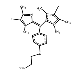 Bn1c(C)c(I)c(C)c1/C(=C1\N=C(C)C(I)=C1C)c1ccc(OCCCCCCCCCCCC)cc1